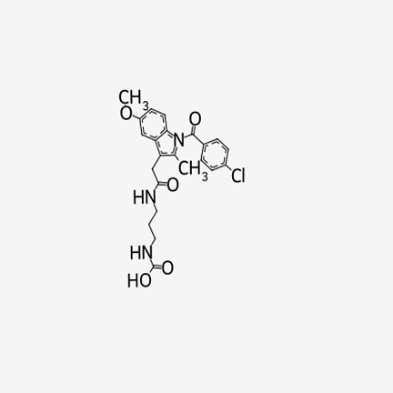 COc1ccc2c(c1)c(CC(=O)NCCCNC(=O)O)c(C)n2C(=O)c1ccc(Cl)cc1